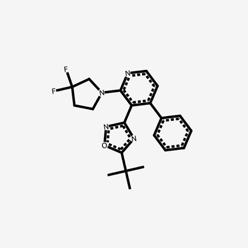 CC(C)(C)c1nc(-c2c(-c3ccccc3)ccnc2N2CCC(F)(F)C2)no1